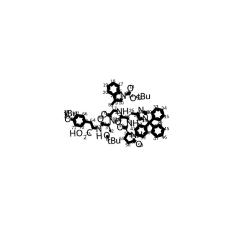 CC(C)(C)OC[C@H](NC(=O)[C@H](Cc1cn(C(=O)OC(C)(C)C)c2ccccc12)NC(=O)[C@H](Cc1cn(C(c2ccccc2)(c2ccccc2)c2ccccc2)cn1)NC(=O)[C@@H]1CCC(=O)N1)C(=O)N[C@@H](Cc1ccc(OC(C)(C)C)cc1)C(=O)O